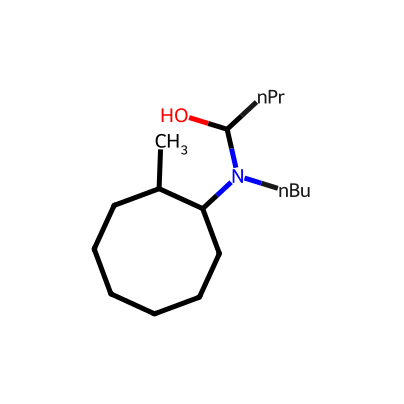 CCCCN(C(O)CCC)C1CCCCCCC1C